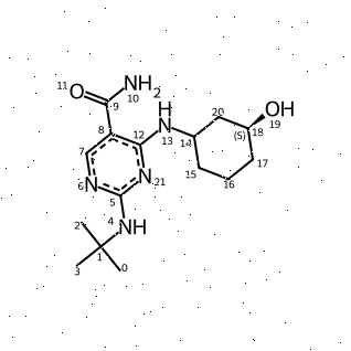 CC(C)(C)Nc1ncc(C(N)=O)c(NC2CCC[C@H](O)C2)n1